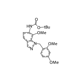 COc1ccc(Cn2ncc3ccc(NC(=O)OC(C)(C)C)c(OC)c32)c(OC)c1